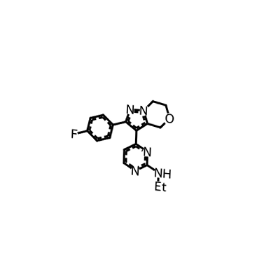 CCNc1nccc(-c2c(-c3ccc(F)cc3)nn3c2COCC3)n1